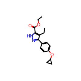 CCOC(=O)c1[nH]nc(-c2ccc(OC3CC3)cc2)c1CC